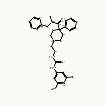 CCCc1cc(NC(=O)NCCN2CCC(C(=O)N(C)Cc3ccccc3)(c3ccccc3)CC2)cc(C)n1